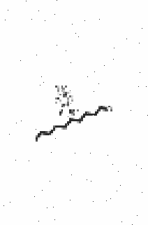 CCCCCCCCCC=O.C[As](=O)([O-])[O-].[Na+].[Na+]